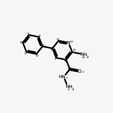 NNC(=O)c1cc(-c2ccccc2)cnc1N